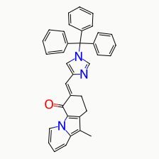 Cc1c2c(n3ccccc13)C(=O)C(=Cc1cn(C(c3ccccc3)(c3ccccc3)c3ccccc3)cn1)CC2